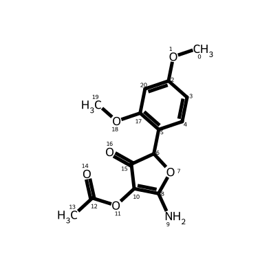 COc1ccc(C2OC(N)=C(OC(C)=O)C2=O)c(OC)c1